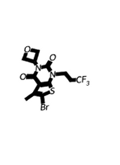 Cc1c(Br)sc2c1c(=O)n(C1COC1)c(=O)n2CCC(F)(F)F